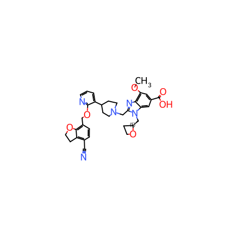 COc1cc(C(=O)O)cc2c1nc(CN1CCC(c3cccnc3OCc3ccc(C#N)c4c3OCC4)CC1)n2C[C@@H]1CCO1